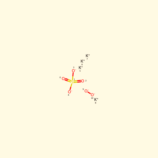 O=S(=O)([O-])[O-].[K+].[K+].[K+].[K+].[O-][O-]